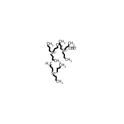 CCC[CH2][Sn+]([CH2]CCC)[CH2]CCC.CCC[CH2][Sn+]([CH2]CCC)[CH2]CCC.CCC[CH2][Sn+]([CH2]CCC)[CH2]CCC.[Cl-].[Cl-].[Cl-]